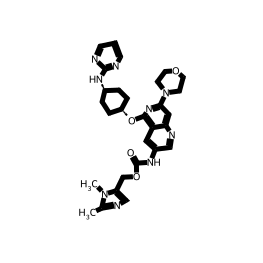 Cc1ncc(COC(=O)Nc2cnc3cc(N4CCOCC4)nc(O[C@H]4CC[C@@H](Nc5ncccn5)CC4)c3c2)n1C